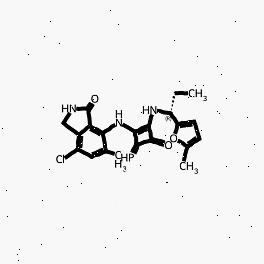 CC[C@@H](Nc1c(Nc2c(C)cc(Cl)c3c2C(=O)NC3)c(=P)c1=O)c1ccc(C)o1